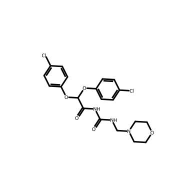 O=C(NCN1CCOCC1)NC(=O)C(Oc1ccc(Cl)cc1)Oc1ccc(Cl)cc1